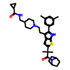 Cc1cc(C)cc(-c2[nH]c3sc(C(C)(C)C(=O)N4C5CCC4CC5)cc3c2CCN2CCC(CNC(=O)C3CC3)CC2)c1